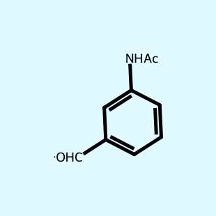 CC(=O)Nc1cccc([C]=O)c1